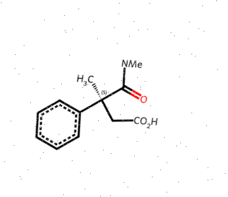 CNC(=O)[C@@](C)(CC(=O)O)c1ccccc1